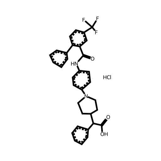 Cl.O=C(Nc1ccc(N2CCC(C(C(=O)O)c3ccccc3)CC2)cc1)c1cc(C(F)(F)F)ccc1-c1ccccc1